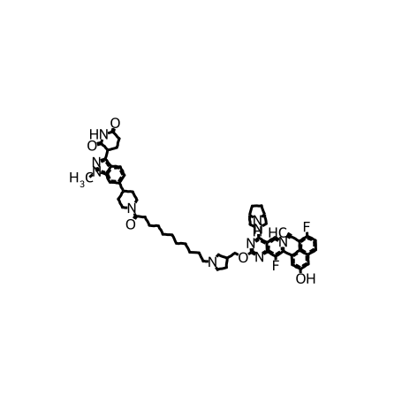 C#Cc1c(F)ccc2cc(O)cc(-c3ncc4c(N5CC6CCC(C5)N6)nc(OCC5CCN(CCCCCCCCCCC(=O)N6CCC(c7ccc8c(C9CCC(=O)NC9=O)nn(C)c8c7)CC6)C5)nc4c3F)c12